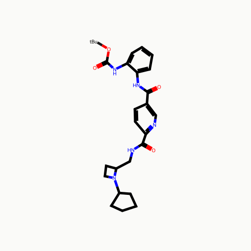 CC(C)(C)OC(=O)Nc1ccccc1NC(=O)c1ccc(C(=O)NCC2CCN2C2CCCC2)nc1